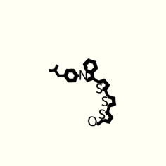 CC(C)Cc1ccc(-n2cc(-c3ccc(-c4ccc(-c5ccc(C=O)s5)s4)s3)c3ccccc32)cc1